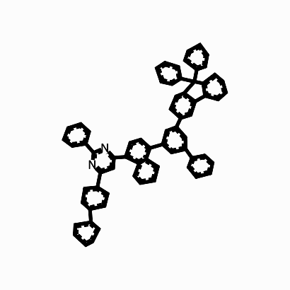 c1ccc(-c2ccc(-c3cc(-c4ccc(-c5cc(-c6ccccc6)cc(-c6ccc7c(c6)-c6ccccc6C7(c6ccccc6)c6ccccc6)c5)c5ccccc45)nc(-c4ccccc4)n3)cc2)cc1